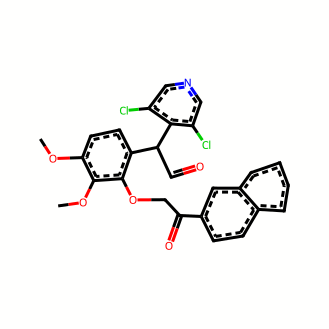 COc1ccc(C(C=O)c2c(Cl)cncc2Cl)c(OCC(=O)c2ccc3ccccc3c2)c1OC